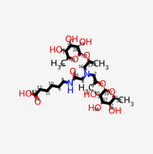 CC(CN(CC(=O)NCCCCCC(=O)O)CC(C)O[C@@H]1O[C@@H](C)[C@@H](O)[C@@H](O)[C@@H]1O)O[C@@H]1O[C@@H](C)[C@@H](O)[C@@H](O)[C@@H]1O